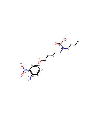 CCCCN(CCCCCOc1ccc(N)c([N+](=O)[O-])c1)C(=O)O